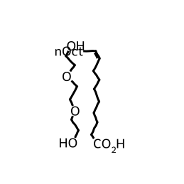 CCCCCCCC/C=C\CCCCCCCC(=O)O.OCCOCCOCCO